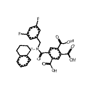 O=C(O)c1cc(C(=O)O)c(C(=O)N(Cc2cc(F)cc(F)c2)[C@H]2CCCc3ccccc32)cc1C(=O)O